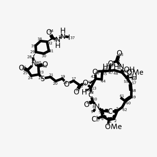 COc1cc2cc(c1Cl)N(C)C(=O)C[C@H](OC(=O)COCCCSC1CC(=O)N(C[C@H]3CC[C@H](C(=O)NNI)CC3)C1=O)[C@@]1(C)C[C@@H](O1)[C@@H]1C[C@@](O)(NC(=O)O1)[C@H](OC)/C=C/C=C(\C)C2